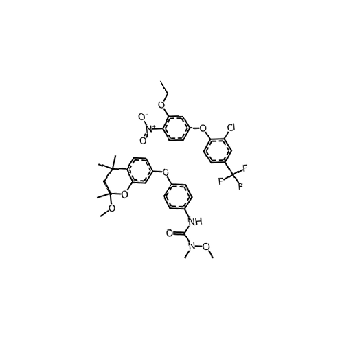 CCOc1cc(Oc2ccc(C(F)(F)F)cc2Cl)ccc1[N+](=O)[O-].CON(C)C(=O)Nc1ccc(Oc2ccc3c(c2)OC(C)(OC)CC3(C)C)cc1